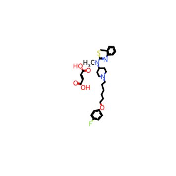 CN(C1=Nc2ccccc2CS1)C1CCN(CCCCCCOc2ccc(F)cc2)CC1.O=C(O)C=CC(=O)O